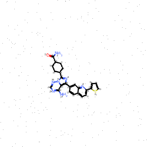 NC(=O)C1CCC(c2nc(-c3ccc4ccc(-c5cccs5)nc4c3)c3c(N)ncnn23)CC1